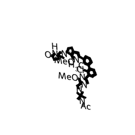 COc1nc(-c2cccc(-c3cccc(-c4cc5c(c(OC)n4)[C@@H](N4CC6(CCC(=O)N6)C4)CC5)c3C)c2Cl)cnc1CN1CC2(C1)CN(C(C)=O)C2